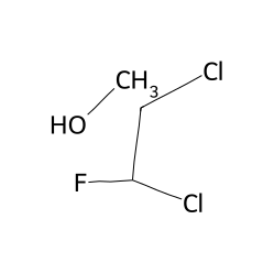 CO.FC(Cl)CCl